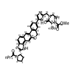 CCCC(=O)N1CCC[C@H]1c1nc2ccc3cc4c(cc3c2[nH]1)OCc1cc(-c2cnc(CN(CC(C)C)C(=O)[C@@H](NC(=O)OC)[C@@H](C)CC)[nH]2)ccc1-4